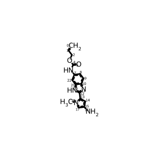 C=CCOC(=O)Nc1ccc2nc(-c3cc(N)cn3C)[nH]c2c1